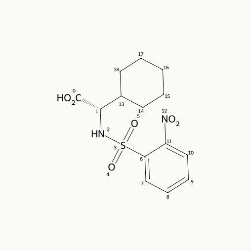 O=C(O)[C@@H](NS(=O)(=O)c1ccccc1[N+](=O)[O-])C1CCCCC1